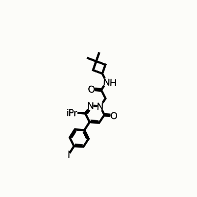 CC(C)c1nn(CC(=O)NC2CC(C)(C)C2)c(=O)cc1-c1ccc(I)cc1